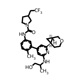 Cc1ccc(NC(=O)N2CCC(CC(F)(F)F)C2)cc1-c1cc(NC(C)CO)nc([C@]23CCOC[C@H]2C3)c1